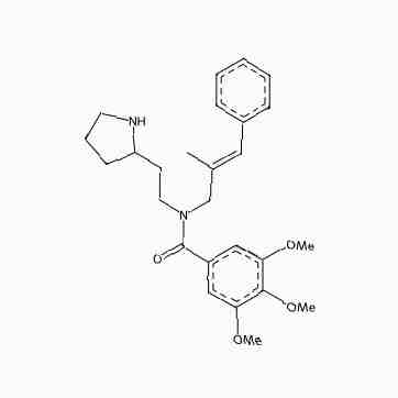 COc1cc(C(=O)N(CCC2CCCN2)C/C(C)=C/c2ccccc2)cc(OC)c1OC